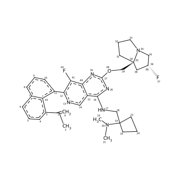 C=C(C)c1cccc2cccc(-c3ncc4c(NCC5(N(C)C)CCC5)nc(OC[C@@]56CCCN5C[C@H](F)C6)nc4c3F)c12